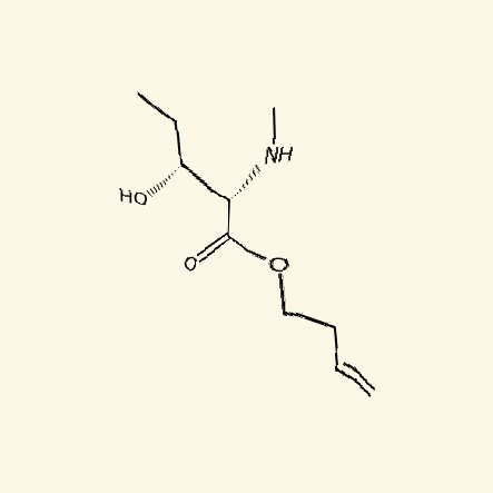 C=CCCOC(=O)[C@@H](NC)[C@H](O)CC